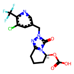 O=C(O)O[C@H]1CCCc2nn(Cc3cnc(C(F)(F)F)c(Cl)c3)c(=O)n21